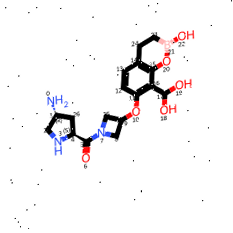 N[C@H]1CN[C@H](C(=O)N2CC(Oc3ccc4c(c3C(O)O)OB(O)CC4)C2)C1